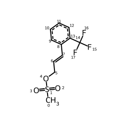 CS(=O)(=O)OCC=Cc1ccccc1C(F)(F)F